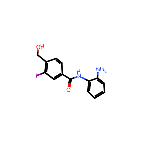 Nc1ccccc1NC(=O)c1ccc(CO)c(I)c1